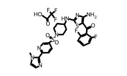 Cn1ccnc1-c1ccc(S(=O)(=O)N2CCC(Nc3nc(N)c(C(=O)c4c(F)cccc4F)s3)CC2)cn1.O=C(O)C(F)(F)F